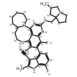 C[C@H]1CN2CCCC2(COc2nc3c4c(c(Cl)c(-c5ccc(F)c6sc(N)c(C#N)c56)c(F)c4n2)OCCC2CCCCCN32)C1